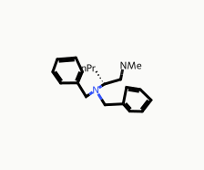 CCC[C@H](CNC)N(Cc1ccccc1)Cc1ccccc1